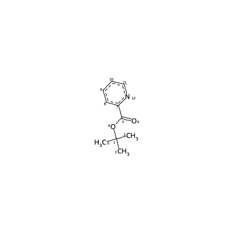 CC(C)(C)OC(=O)c1ccc[c]n1